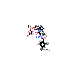 CCO[C@@H]1OC(=O)CC1NC(=O)[C@@H]1[C@H]2CC[C@H](C2)N1C(=O)[C@@H](NC(=O)c1ccc(NC(C)=O)cc1Cl)C(C)(C)C